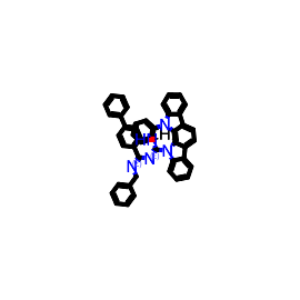 CN/C(=N\C(=N/Cc1ccccc1)c1ccc(-c2ccccc2)cc1)n1c2ccccc2c2ccc3c4ccccc4n(-c4ccccc4)c3c21